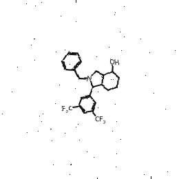 OC1CCCC2C1CN(Cc1ccccc1)C2c1cc(C(F)(F)F)cc(C(F)(F)F)c1